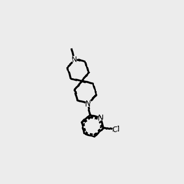 CN1CCC2(CC1)CCN(c1cccc(Cl)n1)CC2